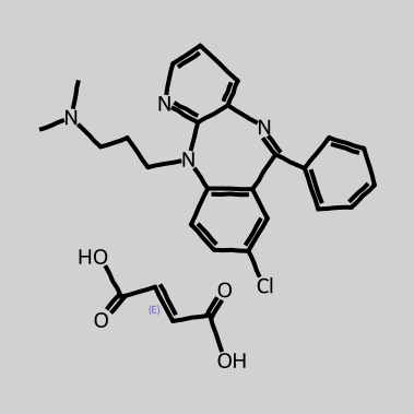 CN(C)CCCN1c2ccc(Cl)cc2C(c2ccccc2)=Nc2cccnc21.O=C(O)/C=C/C(=O)O